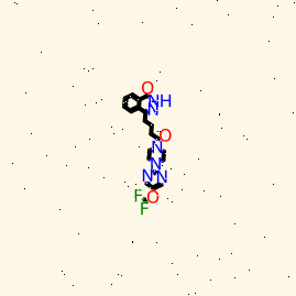 O=C(CCCc1n[nH]c(=O)c2ccccc12)N1CCN(c2ncc(OC(F)F)cn2)CC1